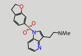 CNCCc1cn(S(=O)(=O)c2ccc3c(c2)OCC3)c2cccnc12